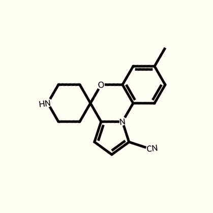 Cc1ccc2c(c1)OC1(CCNCC1)c1ccc(C#N)n1-2